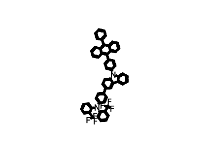 FC(F)(F)c1ccccc1N(c1ccc(-c2ccc3c(c2)c2ccccc2n3-c2ccc(-c3c4ccccc4c(-c4ccccc4)c4ccccc34)cc2)cc1)c1ccccc1C(F)(F)F